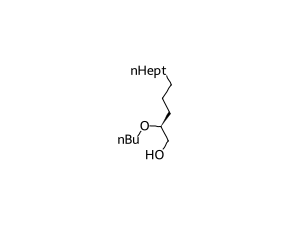 CCCCCCCCCC[C@@H](CO)OCCCC